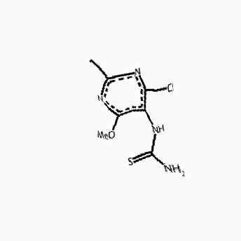 COc1nc(C)nc(Cl)c1NC(N)=S